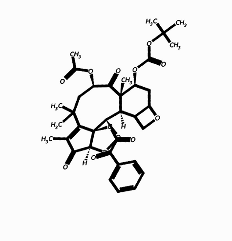 CC(=O)O[C@@H]1CC(C)(C)C2=C(C)C(=O)[C@@H]3OC(=O)O[C@]23[C@@H](OC(=O)c2ccccc2)[C@@H]2C3COC3C[C@H](OC(=O)OC(C)(C)C)[C@@]2(C)C1=O